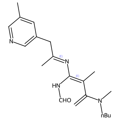 C=C(/C(C)=C(/N=C(\C)Cc1cncc(C)c1)NC=O)N(C)CCCC